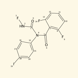 O=C(NF)N(C(=O)c1c(F)cccc1F)c1ccc(I)cc1